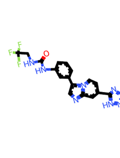 O=C(NCC(F)(F)F)Nc1cccc(-c2cnc3cc(-c4nnn[nH]4)ccn23)c1